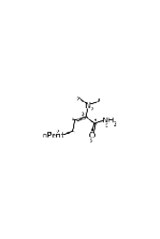 CCCCCC/C=C(\C(N)=O)N(C)C